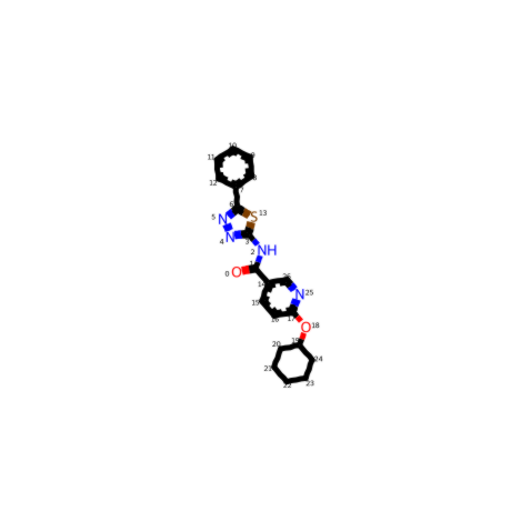 O=C(Nc1nnc(-c2ccccc2)s1)c1ccc(OC2CCCCC2)nc1